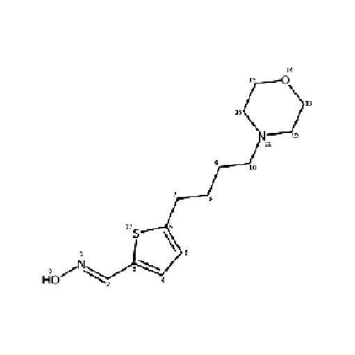 ON=Cc1ccc(CCCCN2CCOCC2)s1